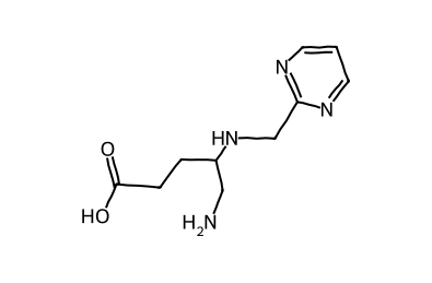 NCC(CCC(=O)O)NCc1ncccn1